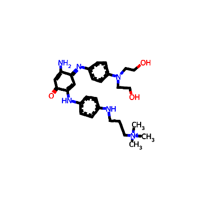 C[N+](C)(C)CCCNc1ccc(NC2=C/C(=N\c3ccc(N(CCO)CCO)cc3)C(N)=CC2=O)cc1